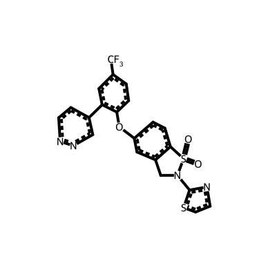 O=S1(=O)c2ccc(Oc3ccc(C(F)(F)F)cc3-c3ccnnc3)cc2CN1c1nccs1